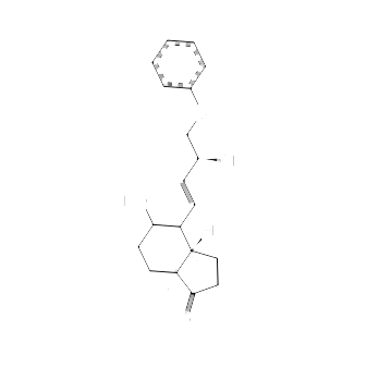 O=C1CC[C@H]2C(C=C[C@H](O)COc3ccccc3)C(O)CC[C@H]12